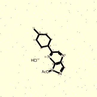 CC(=O)On1ncc2ncc(C3CCC(C)CC3)nc21.Cl